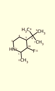 CC1NCCC(C(C)(C)C)C1F